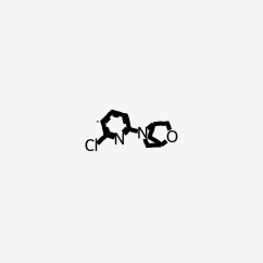 Clc1[c]ccc(N2CC3CC2CO3)n1